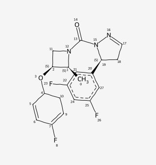 C[C@H]1[C@@H](OC2C=CC(F)=CC2)CN1C(=O)N1N=CC[C@H]1c1cc(F)cc(F)c1